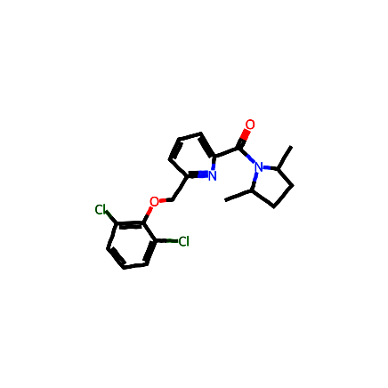 CC1CCC(C)N1C(=O)c1cccc(COc2c(Cl)cccc2Cl)n1